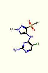 CC(C)S(=O)(=O)c1nn(C)cc1Nc1nc(N)ncc1Cl